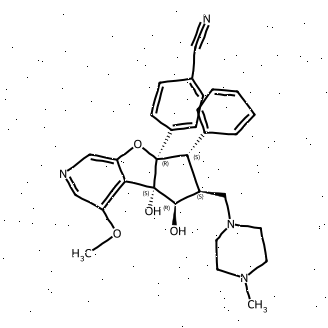 COc1cncc2c1[C@]1(O)[C@H](O)[C@H](CN3CCN(C)CC3)[C@@H](c3ccccc3)[C@]1(c1ccc(C#N)cc1)O2